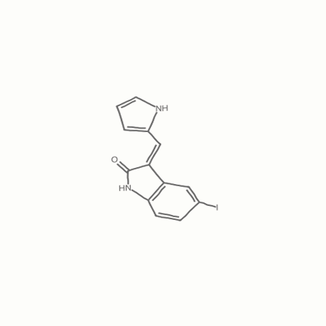 O=C1Nc2ccc(I)cc2/C1=C/c1ccc[nH]1